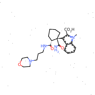 Cn1c(C(=O)O)c([C@]2(C(N)=O)CCCC[C@H]2C(=O)NCCCN2CCOCC2)c2ccccc21